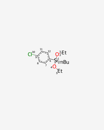 CCCC[Si](OCC)(OCC)c1ccc(Cl)cc1